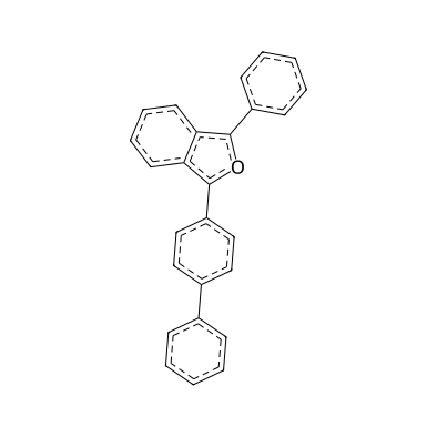 c1ccc(-c2ccc(-c3oc(-c4ccccc4)c4ccccc34)cc2)cc1